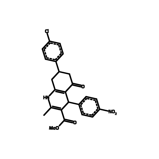 COC(=O)C1=C(C)NC2=C(C(=O)CC(c3ccc(Cl)cc3)C2)C1c1ccc([N+](=O)[O-])cc1